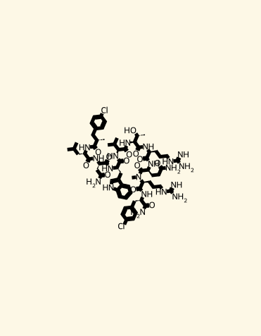 CC(C)C[C@H](NC(=O)[C@@H](C)Cc1ccc(Cl)cc1)C(=O)N[C@@H](CC(N)=O)C(=O)N[C@@H](Cc1c[nH]c2ccccc12)C(=O)N[C@H](C(=O)N[C@H](C(=O)N[C@@H](CCCNC(=N)N)C(=O)N[C@@H](CCC(N)=O)C(=O)N(C)[C@@H](CCCNC(=N)N)C(=O)N[C@@H](Cc1ccc(Cl)cc1)C(N)=O)[C@@H](C)O)C(C)C